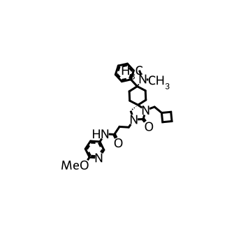 COc1ccc(NC(=O)CCN2C[C@]3(CC[C@@](c4ccccc4)(N(C)C)CC3)N(CC3CCC3)C2=O)cn1